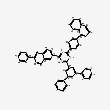 c1ccc(-c2cc(-c3ccccc3)cc(-c3nc(-c4ccc(-c5cccc6ccccc56)cc4)nc(-c4ccc5cc(-c6ccccc6)ccc5c4)n3)c2)cc1